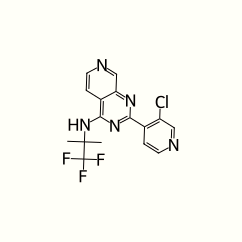 CC(C)(Nc1nc(-c2ccncc2Cl)nc2cnccc12)C(F)(F)F